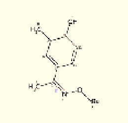 C/C(=N/OC(C)(C)C)C1=CC(C)C(O)C=C1